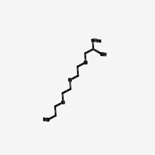 CCCCCCC(O)COCCOCCOCCO